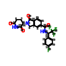 O=C1CC[C@H](N2Cc3cc(C(=O)NC(c4ccc(F)cc4)C(F)(F)F)ccc3C2=O)C(=O)N1